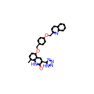 Cc1ccc(OCc2ccc(OCc3ccc4ccccc4n3)cc2)c2cc(-c3nnn[nH]3)c(=O)[nH]c12